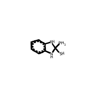 PC1(S)Nc2ccccc2N1